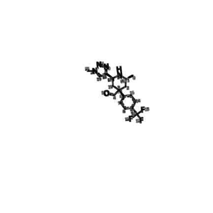 C[C@H]1C[C@@](C=O)(c2ccc(C(F)(F)F)cc2)C[C@@H](c2cn(C)nn2)N1